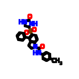 Cc1ccc(NC(=O)N2CCc3c2ccc(S(=O)(=O)C2CNC(=O)N2)c3-c2ccccc2)cc1